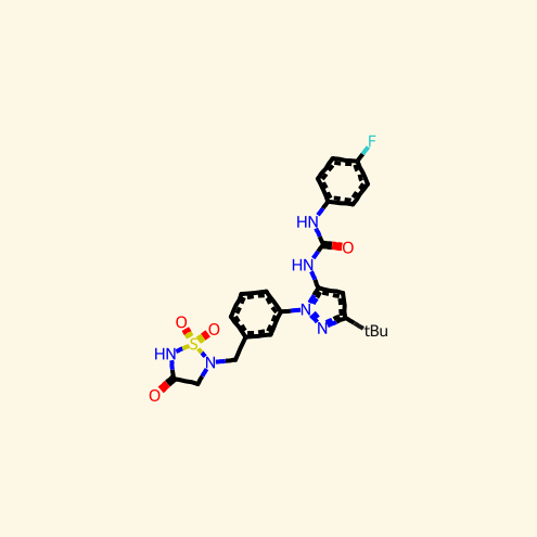 CC(C)(C)c1cc(NC(=O)Nc2ccc(F)cc2)n(-c2cccc(CN3CC(=O)NS3(=O)=O)c2)n1